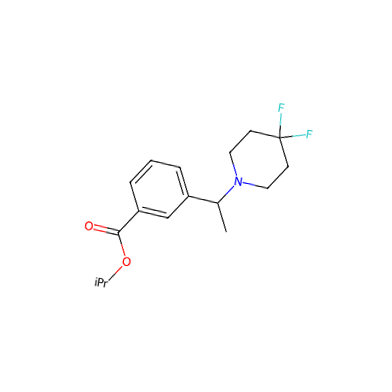 CC(C)OC(=O)c1cccc(C(C)N2CCC(F)(F)CC2)c1